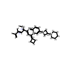 C=C(C)/C(C)=C/C(=N\C)C1=CC(=C2CCC2)N2C=C(N3CC(N4CCCCC4)C3)C=CC2=N1